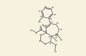 C=C(CC)C12CCCC(CC)C1(C)N(C)CCC(c1ccccc1C)=C2C